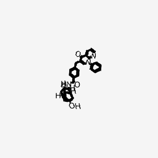 O=C(N[C@@H]1[C@@H]2C[C@@H]3C[C@H]1C[C@@](O)(C3)C2)c1ccc(Cc2cn(-c3ccccc3)c3ncccc3c2=O)cc1